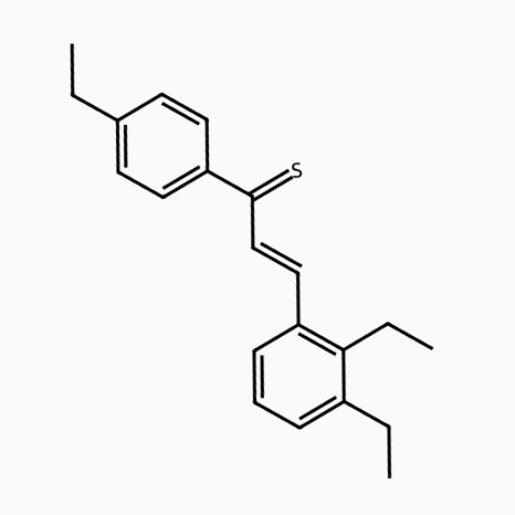 CCc1ccc(C(=S)C=Cc2cccc(CC)c2CC)cc1